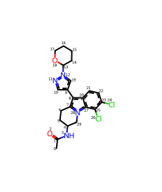 CC(=O)NC1CCc2c(-c3cnn(C4CCCCO4)c3)c3ccc(Cl)c(Cl)c3n2C1